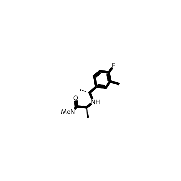 CNC(=O)[C@H](C)N[C@H](C)c1ccc(F)c(C)c1